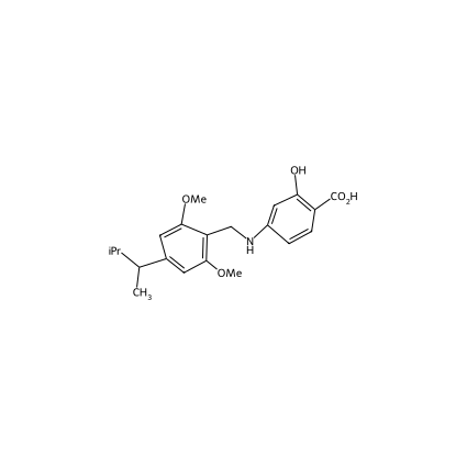 COc1cc(C(C)C(C)C)cc(OC)c1CNc1ccc(C(=O)O)c(O)c1